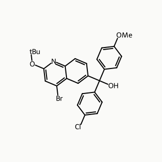 COc1ccc(C(O)(c2ccc(Cl)cc2)c2ccc3nc(OC(C)(C)C)cc(Br)c3c2)cc1